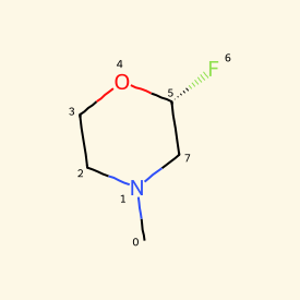 CN1CCO[C@H](F)C1